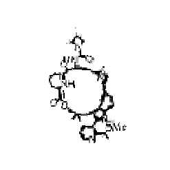 CCn1c(-c2cccnc2[C@H](C)OC)c2c3cc(ccc31)-c1csc(n1)C[C@H](NC(=O)N1C[C@@H](C)[C@H]1C)C(=O)N1CCC[C@H](N1)C(=O)OCC(C)(C)C2